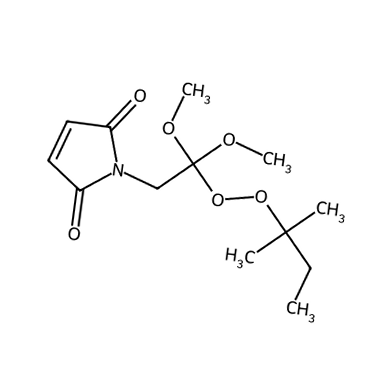 CCC(C)(C)OOC(CN1C(=O)C=CC1=O)(OC)OC